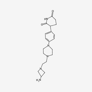 NC1CN(CCN2CCN(c3ccc(C4CCC(=O)NC4=O)cc3)CC2)C1